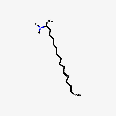 CCCCCC=CCC=CCCCCCCCCCC(CCCCCCCCC)N(C)CC